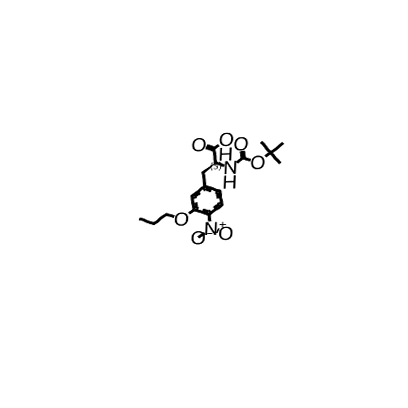 CCCOc1cc(C[C@H](NC(=O)OC(C)(C)C)C(=O)O)ccc1[N+](=O)[O-]